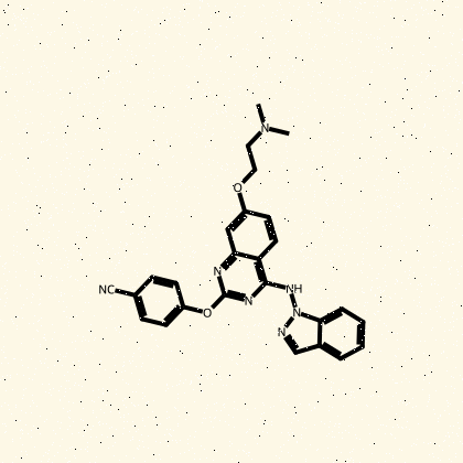 CN(C)CCOc1ccc2c(Nn3ncc4ccccc43)nc(Oc3ccc(C#N)cc3)nc2c1